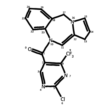 O=C(c1cnc(Cl)nc1C(F)(F)F)N1C=C2CC=CN2Cc2ccccc21